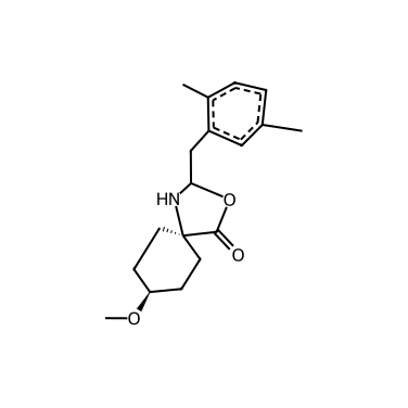 CO[C@H]1CC[C@]2(CC1)NC(Cc1cc(C)ccc1C)OC2=O